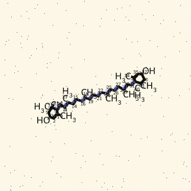 CC1=CC(O)CC(C)(C)/C1=C/C=C(C)/C=C/C=C(C)/C=C/C=C/C(C)=C/C=C/C(C)=C/C=C1\C(C)=CC(O)CC1(C)C